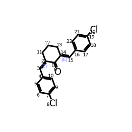 O=C1/C(=C\c2ccc(Cl)cc2)CCC/C1=C\c1ccc(Cl)cc1